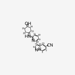 N#Cc1ccn2ncc(-c3cccc(N[C@H]4CC[C@H](O)CC4)n3)c2c1